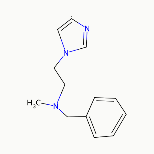 CN(CCn1c[c]nc1)Cc1ccccc1